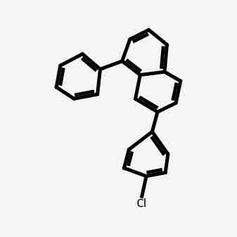 Clc1ccc(-c2ccc3cccc(-c4ccccc4)c3c2)cc1